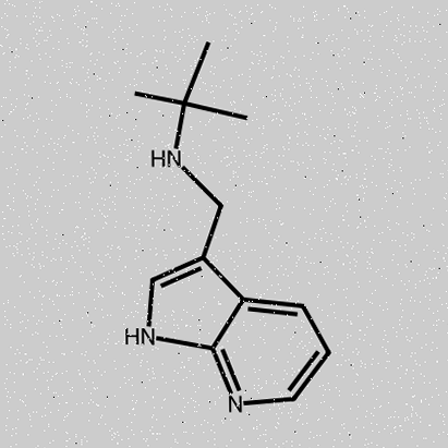 CC(C)(C)NCc1c[nH]c2ncccc12